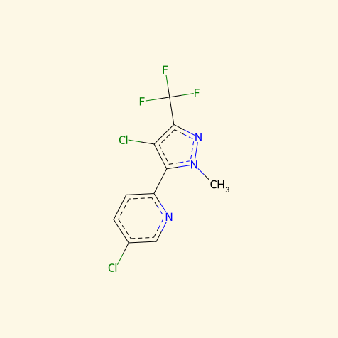 Cn1nc(C(F)(F)F)c(Cl)c1-c1ccc(Cl)cn1